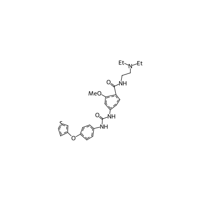 CCN(CC)CCNC(=O)c1ccc(NC(=O)Nc2ccc(Oc3ccsc3)cc2)cc1OC